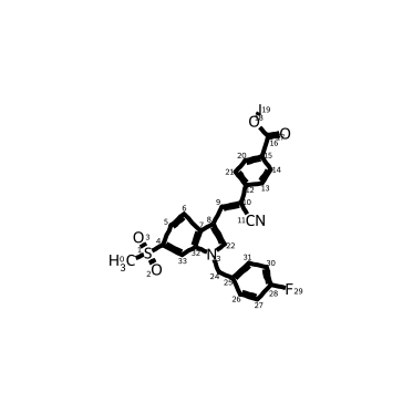 CS(=O)(=O)c1ccc2c(/C=C(\C#N)c3ccc(C(=O)OI)cc3)cn(Cc3ccc(F)cc3)c2c1